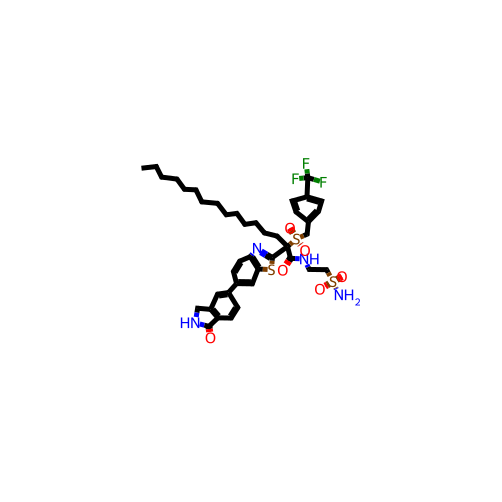 CCCCCCCCCCCCCCC(C(=O)NCCS(N)(=O)=O)(c1nc2ccc(-c3ccc4c(c3)CNC4=O)cc2s1)S(=O)(=O)Cc1ccc(C(F)(F)F)cc1